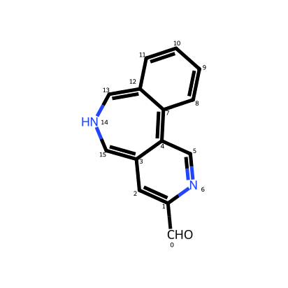 O=Cc1cc2c(cn1)=c1ccccc1=CNC=2